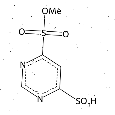 COS(=O)(=O)c1cc(S(=O)(=O)O)ncn1